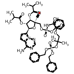 CC(C)C(=O)O[C@H]1[C@H](c2ccc3c(N)ncnn23)O[C@](C#N)(COP(=O)(NC(C)C(=O)OCC(C)(C)OP(=O)(OCc2ccccc2)OCc2ccccc2)Oc2ccccc2)[C@H]1OC(=O)C(C)C